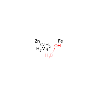 BO.[CaH2].[Fe].[MgH2].[Zn]